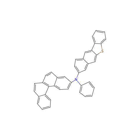 c1ccc(N(c2ccc3cc4c(cc3c2)sc2ccccc24)c2ccc3c(ccc4ccc5ccccc5c43)c2)cc1